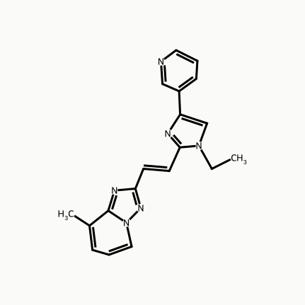 CCn1cc(-c2cccnc2)nc1C=Cc1nc2c(C)cccn2n1